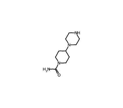 NC(=O)N1CCC(N2CCNCC2)CC1